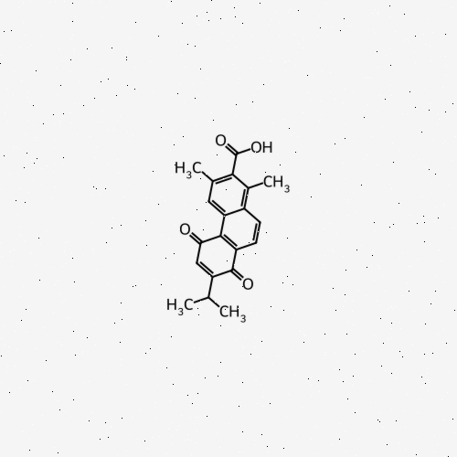 Cc1cc2c3c(ccc2c(C)c1C(=O)O)C(=O)C(C(C)C)=CC3=O